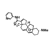 CN[C@@H]1CCC2=CC3=CCC4(C)C(C(=O)Nc5cccnc5)=CC[C@H]4[C@@]34CC[C@]2(C1)O4